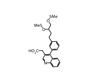 CSOCC(CCc1cccc(-c2c(CC(=O)O)cnc3ccccc23)c1)OSC